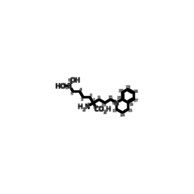 NC(CCCCB(O)O)(CCCN1CCCc2ccccc21)C(=O)O